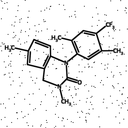 Cc1ccc2c(c1)CN(C)C(=O)N2c1cc(C)c(C(F)(F)F)cc1C